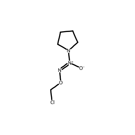 [O-][N+](=NOCCl)N1CCCC1